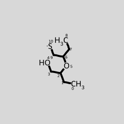 CCC(CO)OC(CC)C[S]